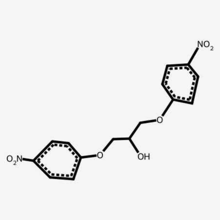 O=[N+]([O-])c1ccc(OCC(O)COc2ccc([N+](=O)[O-])cc2)cc1